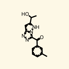 Cc1cccc(C(=O)c2nnc3cc(C(C)O)[nH]n23)c1